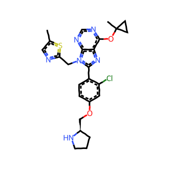 Cc1cnc(Cn2c(-c3ccc(OC[C@H]4CCCN4)cc3Cl)nc3c(OC4(C)CC4)ncnc32)s1